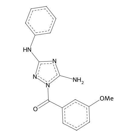 COc1cccc(C(=O)n2nc(Nc3ccccc3)nc2N)c1